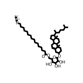 CC(C)CCCC(C)C1CCC2C3CC=C4CC(O[C@@H]5OC(COC(=O)CCCCCCCCCCCCCCCN=[N+]=[N-])[C@H](O)C(O)C5O)CCC4(C)C3CCC12C